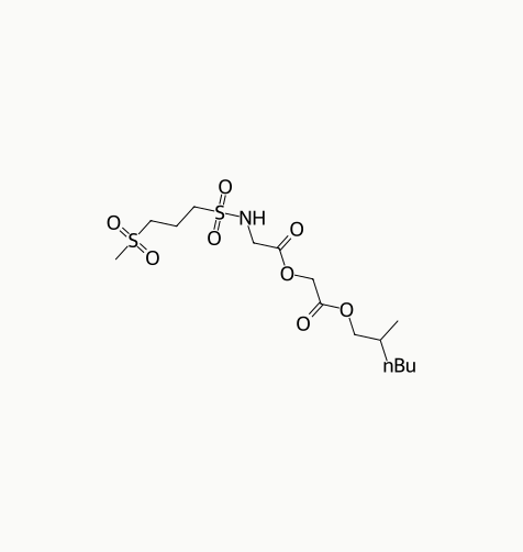 CCCCC(C)COC(=O)COC(=O)CNS(=O)(=O)CCCS(C)(=O)=O